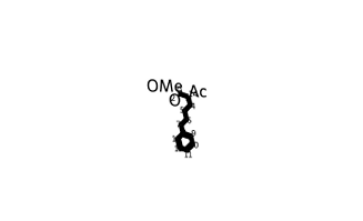 COC(=O)C(CCCCc1ccccc1)C(C)=O